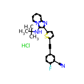 CC(C)(C)Nc1c(-c2ccc(C#Cc3ccc(F)c(C#N)c3)s2)nc2ccccn12.Cl